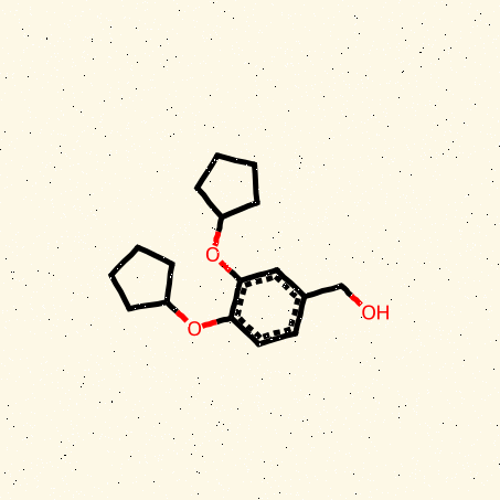 OCc1ccc(OC2CCCC2)c(OC2CCCC2)c1